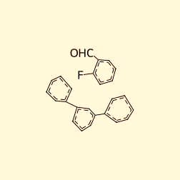 O=Cc1ccccc1F.c1ccc(-c2cccc(-c3ccccc3)c2)cc1